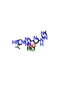 Cc1cnc(Nc2cnc(-c3cnc(N4CCN[C@@H](C(C)C)C4)nn3)c(O)c2)cn1.Cl.Cl